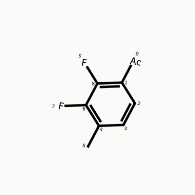 CC(=O)c1ccc(C)c(F)c1F